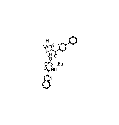 C[C@H]1[C@@H]2CC2[C@@H](CNC(=O)[C@@H](NC(=O)c2cc3ccccc3[nH]2)C(C)(C)C)N1C(=O)c1ccc(-c2ccccc2)cn1